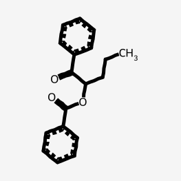 CCCC(OC(=O)c1ccccc1)C(=O)c1ccccc1